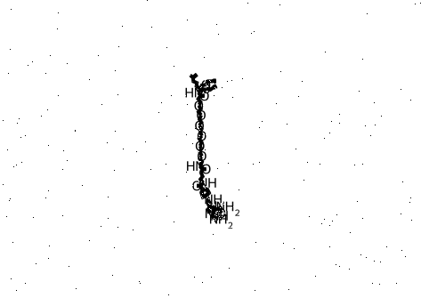 C#CCOCC(CCCC(=C)C)(COCC#C)NC(=O)CCOCCOCCOCCOCCOCCOCCNC(=O)CCCNC(=O)c1ccc(NCc2cnc(NN)c(C(N)=O)n2)cc1